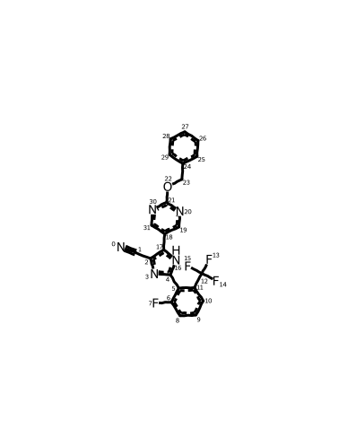 N#Cc1nc(-c2c(F)cccc2C(F)(F)F)[nH]c1-c1cnc(OCc2ccccc2)nc1